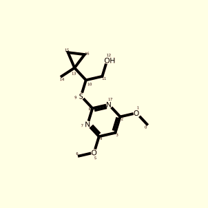 COc1cc(OC)nc(SC(CO)C2(C)CC2)n1